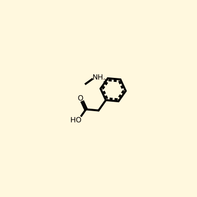 CN.O=C(O)Cc1ccccc1